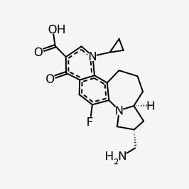 NC[C@H]1C[C@@H]2CCCc3c(c(F)cc4c(=O)c(C(=O)O)cn(C5CC5)c34)N2C1